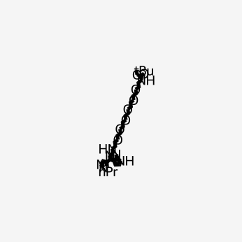 CCCn1cc(-c2nc(NCCOCCOCCOCCOCCOCCOCCNC(=O)OC(C)(C)C)nc3[nH]ccc23)cn1